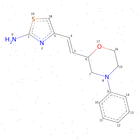 Nc1nc(C=CC2CN(c3ccccc3)CCO2)cs1